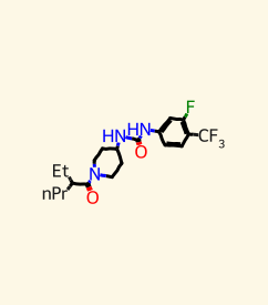 CCCC(CC)C(=O)N1CCC(NC(=O)Nc2ccc(C(F)(F)F)c(F)c2)CC1